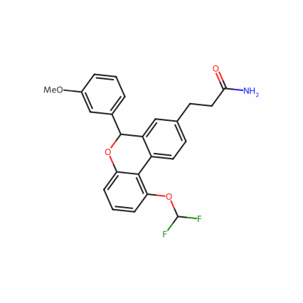 COc1cccc(C2Oc3cccc(OC(F)F)c3-c3ccc(CCC(N)=O)cc32)c1